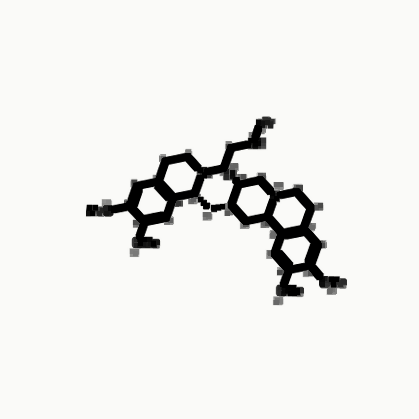 CCCNCCN1CCc2cc(OC)c(OC)cc2[C@H]1C[C@H]1CC2c3cc(OC)c(OC)cc3CCN2C[C@@H]1CC